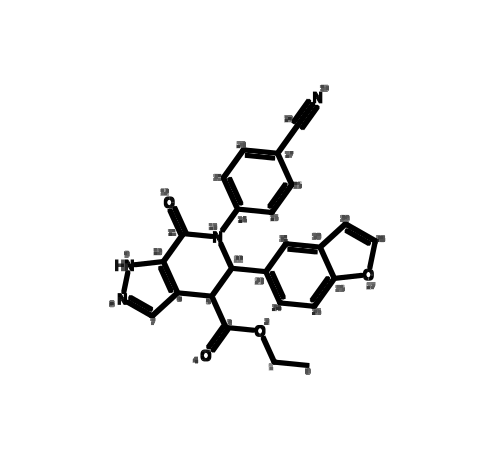 CCOC(=O)C1c2cn[nH]c2C(=O)N(c2ccc(C#N)cc2)C1c1ccc2occc2c1